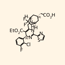 CCOC(=O)C1=C(CN2[C@H]3C[C@@H](CC(=O)O)C[C@@H]2C(F)(F)C3)NC(c2nccs2)=N[C@H]1c1cccc(F)c1Cl